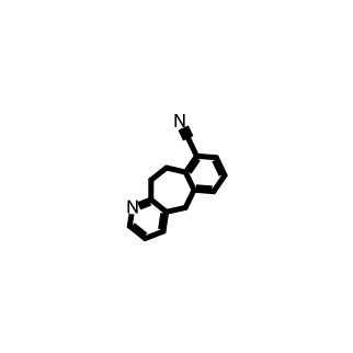 N#Cc1cccc2c1CCc1ncccc1C2